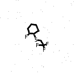 FC1CCCCC1SCC(F)(F)F